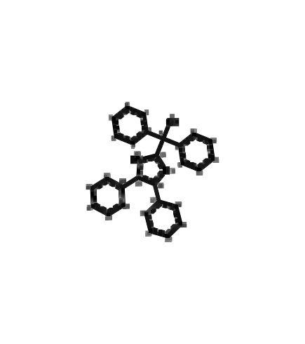 OC(c1ccccc1)(c1ccccc1)c1nc(-c2ccccc2)c(-c2ccccc2)[nH]1